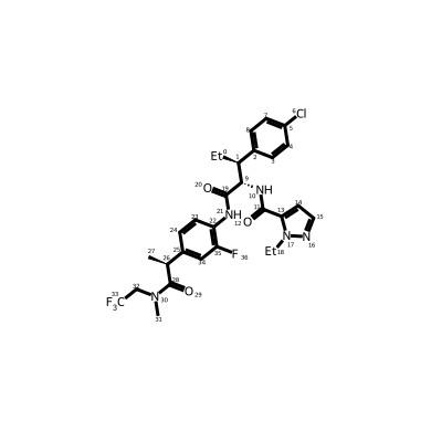 CC[C@@H](c1ccc(Cl)cc1)[C@H](NC(=O)c1ccnn1CC)C(=O)Nc1ccc([C@H](C)C(=O)N(C)CC(F)(F)F)cc1F